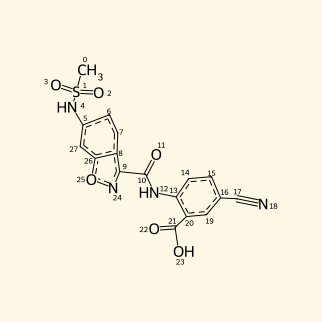 CS(=O)(=O)Nc1ccc2c(C(=O)Nc3ccc(C#N)cc3C(=O)O)noc2c1